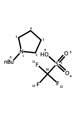 CCCCN1CCCC1.O=S(=O)(O)C(F)(F)F